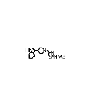 CNc1nc(CN2CCC(C3=CNC4C=CC=CC34)CC2)cs1